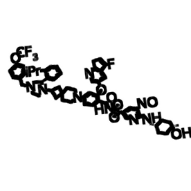 CC(C)c1ccccc1[C@@H]1CN(Cc2ccc(OC(F)(F)F)cc2)CCN1C1CC2(CCN(c3ccc(C(=O)NS(=O)(=O)c4cnc(NC[C@H]5CC[C@](C)(O)CC5)c(N=O)c4)c(Oc4cnc5c(c4)C(F)=CC5)c3)CC2)C1